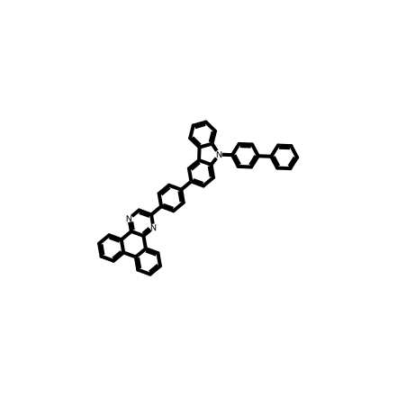 c1ccc(-c2ccc(-n3c4ccccc4c4cc(-c5ccc(-c6cnc7c8ccccc8c8ccccc8c7n6)cc5)ccc43)cc2)cc1